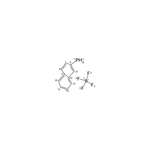 F[B-](F)(F)F.[PH3+]c1ccc2ccccc2c1